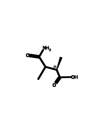 CC(C(N)=O)[C@@H](C)C(=O)O